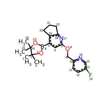 CC1(C)OB(c2cc(OCc3ccc(F)cn3)nc3c2CCC3)OC1(C)C